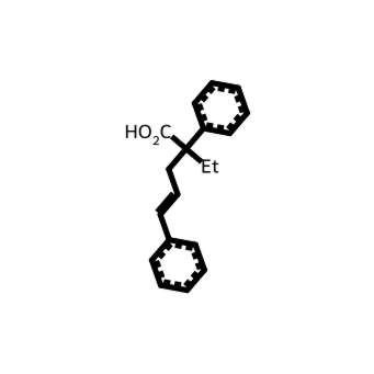 CCC(CC=Cc1ccccc1)(C(=O)O)c1ccccc1